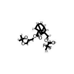 CC1(C)OCC(COC(=O)C23CC4CC(CC(COC(=O)C(C)(F)F)(C4)C2)C3)O1